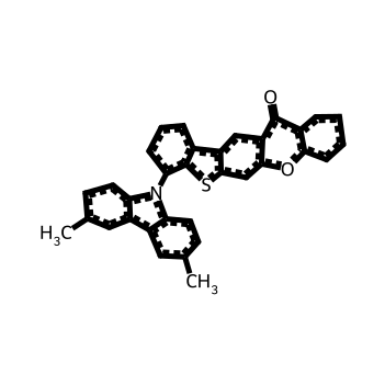 Cc1ccc2c(c1)c1cc(C)ccc1n2-c1cccc2c1sc1cc3oc4ccccc4c(=O)c3cc12